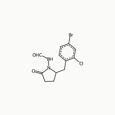 O=CBN1C(=O)CCC1Cc1ccc(Br)cc1Cl